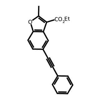 CCOC(=O)c1c(C)oc2ccc(C#Cc3ccccc3)cc12